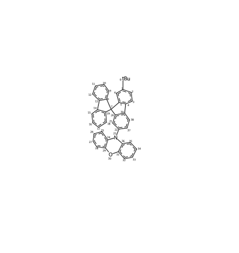 CC(C)(C)c1ccc2c(c1)C1(c3ccccc3-c3ccccc31)c1cc(N3c4ccccc4Oc4ccccc43)ccc1-2